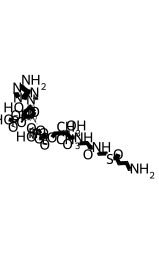 CC(C)(COP(=O)(O)OP(=O)(O)OC[C@H]1O[C@@H](n2cnc3c(N)ncnc32)[C@H](O)[C@@H]1OP(=O)(O)O)[C@@H](O)C(=O)NCCC(=O)NCCSC(=O)CCCN